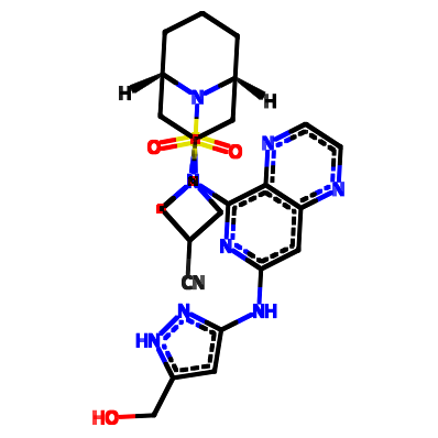 CN(c1nc(Nc2cc(CO)[nH]n2)cc2nccnc12)[C@@H]1C[C@H]2CCC[C@@H](C1)N2S(=O)(=O)N1CC(C#N)C1